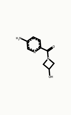 Nc1ccc(C(=O)N2CC(O)C2)nc1